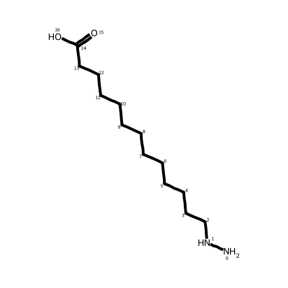 NNCCCCCCCCCCCCC(=O)O